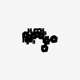 Cc1ccccc1-c1cc2c(cc1C)-c1cc(-c3cc(C4=CCCC=C4)cc(-c4ccccc4)n3)ccc1C2(C)C